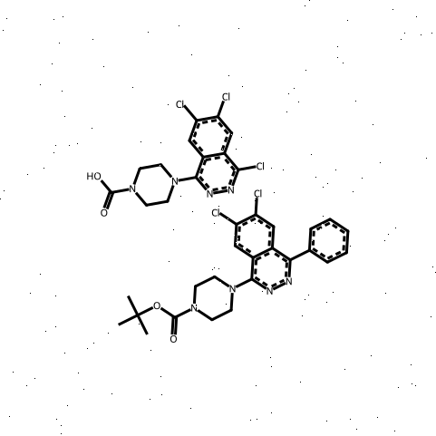 CC(C)(C)OC(=O)N1CCN(c2nnc(-c3ccccc3)c3cc(Cl)c(Cl)cc23)CC1.O=C(O)N1CCN(c2nnc(Cl)c3cc(Cl)c(Cl)cc23)CC1